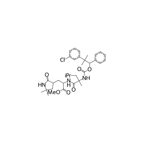 COC(=O)C(CC1CC(C)(C)NC1=O)NC(=O)C(C)(CC(C)C)NC(=O)OC(c1ccccc1)C(C)(C)c1cccc(Cl)c1